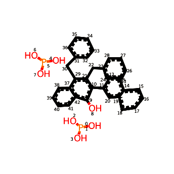 OP(O)O.OP(O)O.Oc1c(-c2ccc3ccccc3c2)c(Cc2ccccc2)c(Cc2ccccc2)c2ccccc12